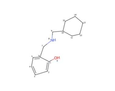 Oc1ccccc1CNCC1CCCCC1